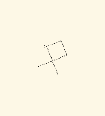 CC1(C)[C]CC1